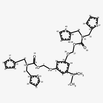 CN(C)c1cc(OCOC(=O)N(Cc2cccs2)Cc2cccs2)cc(OCOC(=O)N(Cc2cccs2)Cc2cccs2)c1